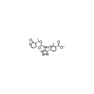 COC(=O)c1ccc(-c2nnn(C)c2NC(=O)OC(C)c2cccnc2Cl)nc1C